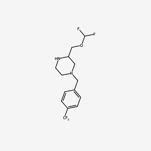 FC(F)OCC1CN(Cc2ccc(C(F)(F)F)cc2)CCN1